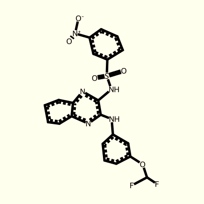 O=[N+]([O-])c1cccc(S(=O)(=O)Nc2nc3ccccc3nc2Nc2cccc(OC(F)F)c2)c1